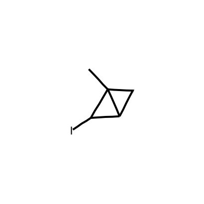 CC12CC1C2I